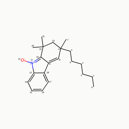 CCCCCCC1(C)C=C2C(=[N+]([O-])c3ccccc32)C(C)(C)C1